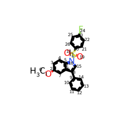 COc1ccc2c(c1)c(-c1ccccc1)cn2S(=O)(=O)c1ccc(F)cc1